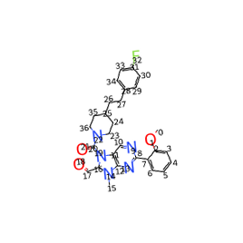 COc1ccccc1-c1ncc2c(n1)N(C)C(C=O)N2C(=O)N1CCC(CCc2ccc(F)cc2)CC1